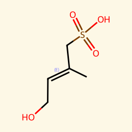 C/C(=C\CO)CS(=O)(=O)O